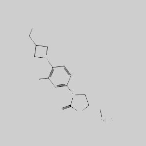 CC(=O)NC[C@H]1CN(c2ccc(N3CC(CF)C3)c(F)c2)C(=O)O1